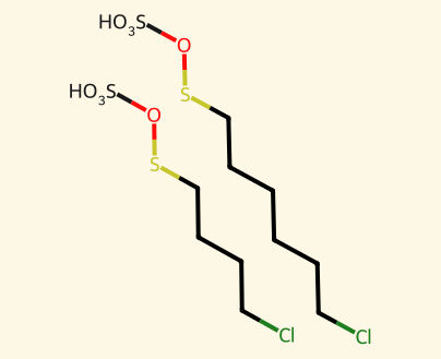 O=S(=O)(O)OSCCCCCCCl.O=S(=O)(O)OSCCCCCl